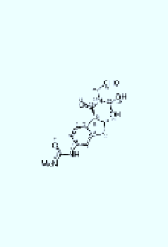 CNC(=O)Nc1ccc2c(c1)CC[C@@H]2C(=O)N(CC=O)C(O)O